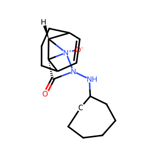 O=C1N(NC2CCCCCC2)[N+]2([O-])[C@H]3C4C=CC(CCC4)[C@@]132